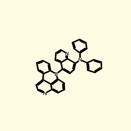 c1ccc(N(c2ccccc2)c2ccc(B3c4ccccc4-c4ccnc5cccc3c45)c3cccnc23)cc1